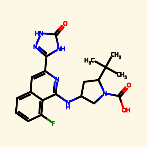 CC(C)(C)C1CC(Nc2nc(-c3n[nH]c(=O)[nH]3)cc3cccc(F)c23)CN1C(=O)O